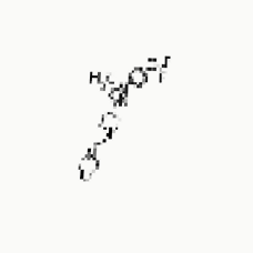 Cc1cc(C2CCN(CCN3CCOCC3)CC2)nn1-c1ccc(OC(F)F)cc1